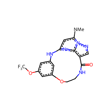 CNc1cc2nc3c(cnn13)C(=O)NCCOc1cc(cc(OC(F)(F)F)c1)N2